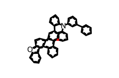 c1ccc(-c2cccc(N(c3ccccc3)c3ccccc3-c3ccc4c5ccccc5c5c(ccc6oc7ccccc7c65)c4c3)c2)cc1